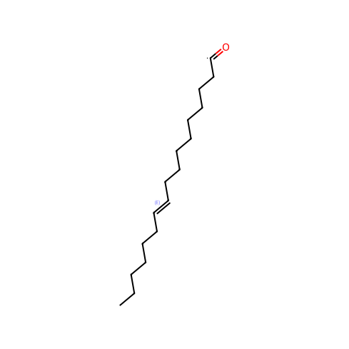 CCCCCC/C=C/CCCCCCCC[C]=O